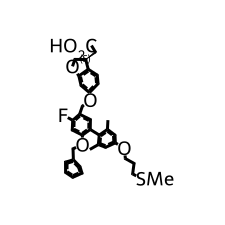 CSCCCOc1cc(C)c(-c2cc(COc3ccc4c(c3)OC[C@H]4CC(=O)O)c(F)cc2OCc2ccccc2)c(C)c1